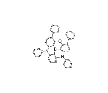 c1ccc(-c2ccc3c4c2Oc2c(-c5ccccc5)ccc5c2B4c2c(cccc2N5c2ccccc2)N3c2ccccc2)cc1